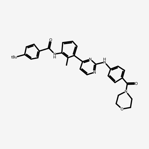 Cc1c(NC(=O)c2ccc(C(C)(C)C)cc2)cccc1-c1ccnc(Nc2ccc(C(=O)N3CCOCC3)cc2)n1